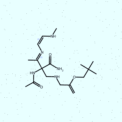 C=C(CNCC(NC(C)=O)(C(N)=O)/C(C)=N/C=C\NC)OCC(C)(C)C